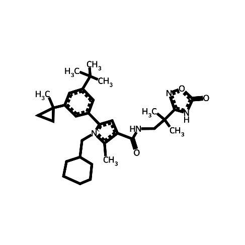 Cc1c(C(=O)NCC(C)(C)c2noc(=O)[nH]2)cc(-c2cc(C(C)(C)C)cc(C3(C)CC3)c2)n1CC1CCCCC1